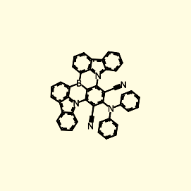 N#Cc1c(N(c2ccccc2)c2ccccc2)c(C#N)c2c3c1-n1c4ccccc4c4cccc(c41)B3c1cccc3c4ccccc4n-2c13